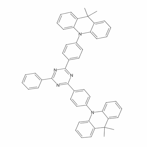 CC1(C)c2ccccc2N(c2ccc(-c3nc(-c4ccccc4)nc(-c4ccc(N5c6ccccc6C(C)(C)c6ccccc65)cc4)n3)cc2)c2ccccc21